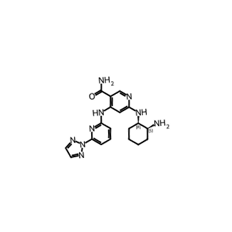 NC(=O)c1cnc(N[C@@H]2CCCC[C@@H]2N)cc1Nc1cccc(-n2nccn2)n1